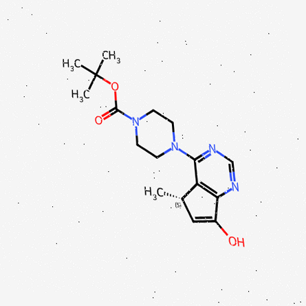 C[C@H]1C=C(O)c2ncnc(N3CCN(C(=O)OC(C)(C)C)CC3)c21